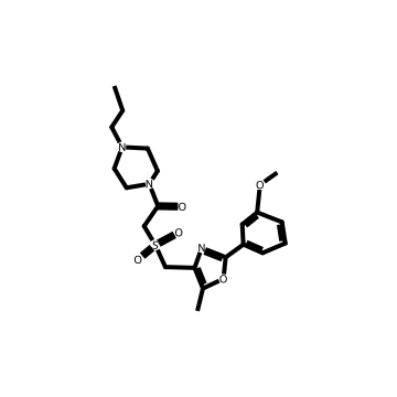 CCCN1CCN(C(=O)CS(=O)(=O)Cc2nc(-c3cccc(OC)c3)oc2C)CC1